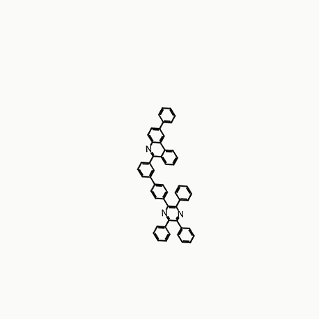 c1ccc(-c2ccc3nc(-c4cccc(-c5ccc(-c6nc(-c7ccccc7)c(-c7ccccc7)nc6-c6ccccc6)cc5)c4)c4ccccc4c3c2)cc1